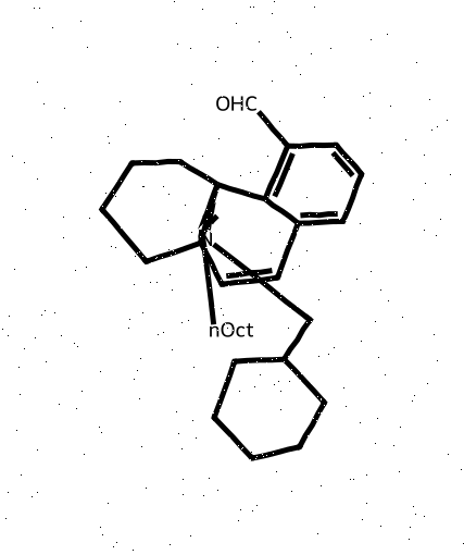 CCCCCCCCC1N(CC2CCCCC2)C=CC23CCCCC12C=Cc1cccc(C=O)c13